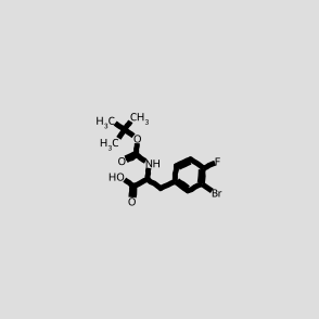 CC(C)(C)OC(=O)NC(Cc1ccc(F)c(Br)c1)C(=O)O